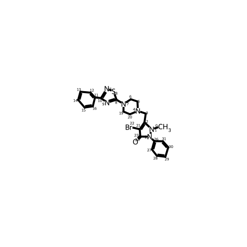 Cn1c(CN2CCN(c3nc(-c4ccccc4)ns3)CC2)c(Br)c(=O)n1-c1ccccc1